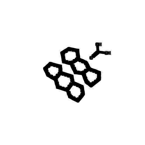 O=C(O)O.c1ccc2cc3ccccc3cc2c1.c1ccc2cc3ccccc3cc2c1